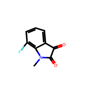 CN1C(=O)C(=O)c2cccc(F)c21